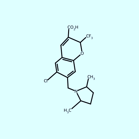 CC1CCC(C)N1Cc1cc2c(cc1Cl)C=C(C(=O)O)C(C(F)(F)F)O2